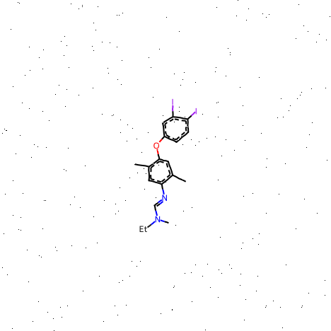 CCN(C)C=Nc1cc(C)c(Oc2ccc(I)c(I)c2)cc1C